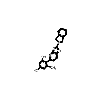 Cc1cc(C#N)cc(O)c1-c1ccc2oc(N3Cc4ccccc4C3)nc2n1